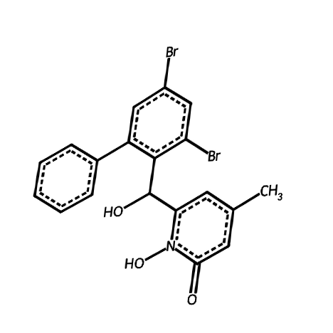 Cc1cc(C(O)c2c(Br)cc(Br)cc2-c2ccccc2)n(O)c(=O)c1